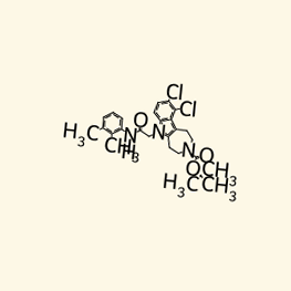 Cc1cccc(NC(=O)Cn2c3c(c4c(Cl)c(Cl)ccc42)CCN(C(=O)OC(C)(C)C)CC3)c1C